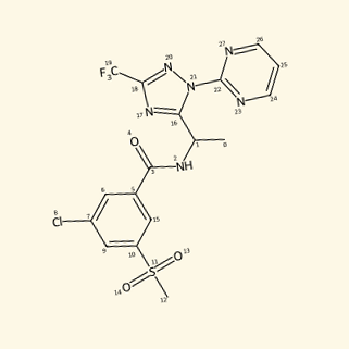 CC(NC(=O)c1cc(Cl)cc(S(C)(=O)=O)c1)c1nc(C(F)(F)F)nn1-c1ncccn1